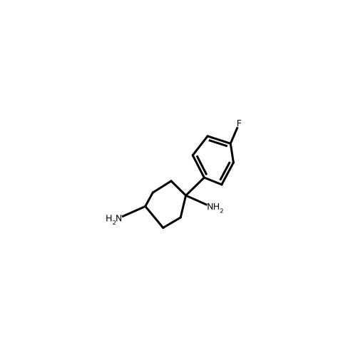 NC1CCC(N)(c2ccc(F)cc2)CC1